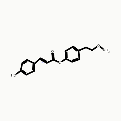 O=C(/C=C/c1ccc(O)cc1)Oc1ccc(CCO[N+](=O)[O-])cc1